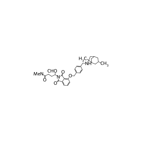 CNC(=O)CCC(C=O)N1C(=O)c2cccc(OCc3ccc(CNC4(C)CC5CC(C)CC4C5)cc3)c2C1=O